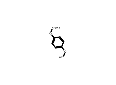 CCCCCOc1ccc(OCCC)cc1